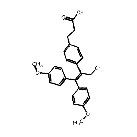 CCC(=C(c1ccc(OC)cc1)c1ccc(OC)cc1)c1ccc(CCC(=O)O)cc1